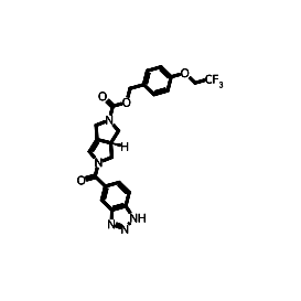 O=C(c1ccc2[nH]nnc2c1)N1C=C2CN(C(=O)OCc3ccc(OCC(F)(F)F)cc3)C[C@@H]2C1